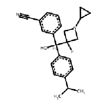 CC(C)c1ccc([C@](O)(c2cccc(C#N)c2)C2(F)CN(C3CC3)C2)cc1